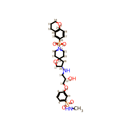 CNS(=O)(=O)c1cccc(OC[C@@H](O)CN[C@H]2COC3(CCN(S(=O)(=O)c4ccc5c(c4)CCCO5)CC3)C2)c1